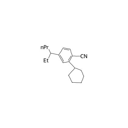 CCCC(CC)c1ccc(C#N)c(C2CCCCC2)c1